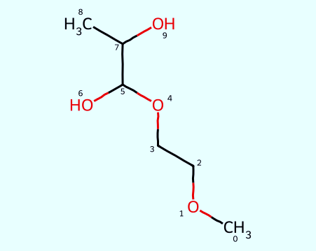 COCCOC(O)C(C)O